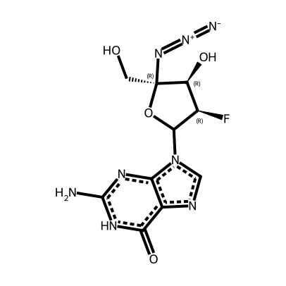 [N-]=[N+]=N[C@]1(CO)OC(n2cnc3c(=O)[nH]c(N)nc32)[C@H](F)[C@@H]1O